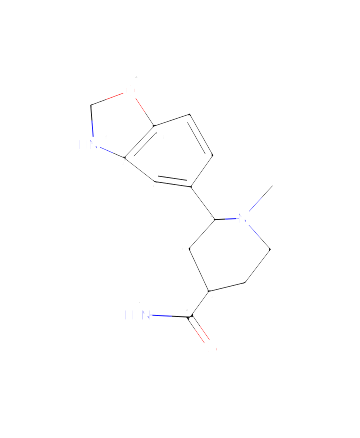 CN1CCC(C(N)=O)CC1c1ccc2c(c1)NCO2